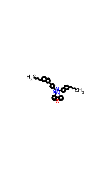 CCCCc1ccc2cc(-c3nc(-c4ccc(-c5ccc6ccc(CCCC)cc6c5)cc4)nc(-c4cccc5oc6ccccc6c45)n3)ccc2c1